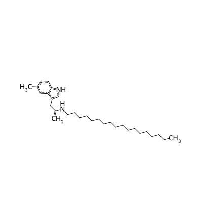 C=C(Cc1c[nH]c2ccc(C)cc12)NCCCCCCCCCCCCCCCCCC